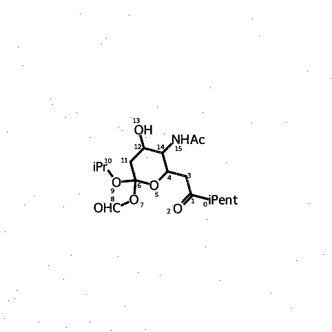 CCCC(C)C(=O)CC1OC(OC=O)(OC(C)C)CC(O)C1NC(C)=O